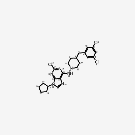 Clc1cc(Cl)cc(CC2CCN(Nc3nc(Cl)nc4c3ncn4C3CCCC3)CC2)c1